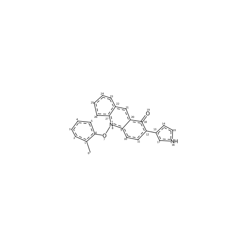 Cc1ccccc1On1c2ccc(-c3cc[nH]c3)c(=O)c-2cc2ccccc21